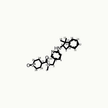 CN(Cc1ccc(NC2Cc3ccccc3C2(C)C)nc1)C(=O)C1CC[S+]([O-])CC1